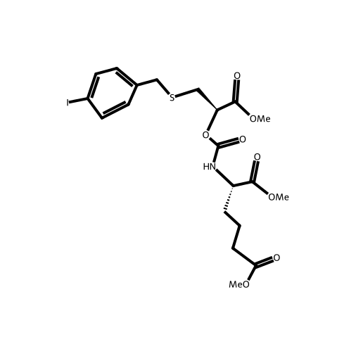 COC(=O)CCC[C@H](NC(=O)O[C@@H](CSCc1ccc(I)cc1)C(=O)OC)C(=O)OC